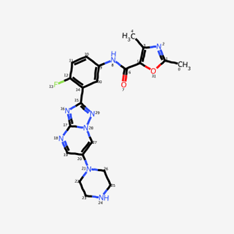 Cc1nc(C)c(C(=O)Nc2ccc(F)c(-c3nc4ncc(N5CCNCC5)cn4n3)c2)o1